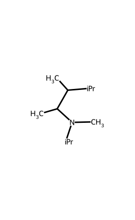 CC(C)C(C)C(C)N(C)C(C)C